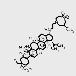 C=C(C)[C@@H]1C[C@@H](NCCN2CCS(=O)(=O)CC(C)C2)C2CC[C@]3(C)[C@H](CC[C@@H]4[C@@]5(C)CC=C(C6=CC[C@](CF)(C(=O)O)CC6)C(C)(C)[C@@H]5CC[C@]43C)[C@H]21